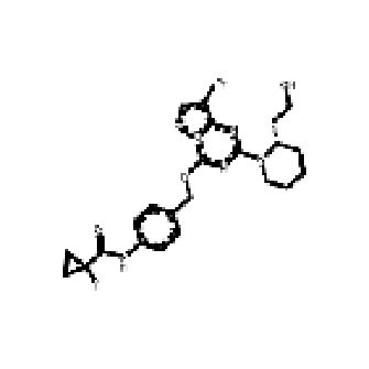 CC(C)c1cnn2c(NCc3ccc(NC(=O)C4(F)CC4)cc3)nc(N3CCCC[C@H]3CCO)nc12